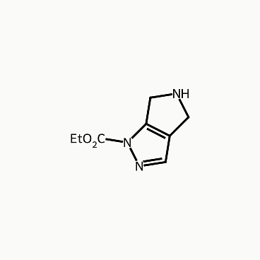 CCOC(=O)n1ncc2c1CNC2